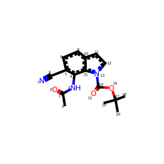 CC(=O)Nc1c(C#N)ccc2ccn(C(=O)OC(C)(C)C)c12